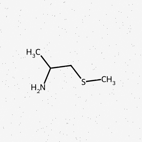 CSCC(C)N